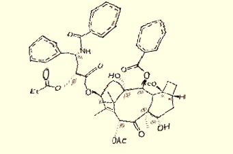 CCC(=O)O[C@@H](C(=O)O[C@H]1C[C@@]2(O)[C@@H](OC(=O)c3ccccc3)C3[C@](C)(C(=O)[C@H](OC(C)=O)C(=C1C)C2(C)C)[C@@H](O)C[C@H]1CC[C@@]31OC(C)=O)[C@@H](NC(=O)c1ccccc1)c1ccccc1